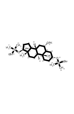 CC(=O)O[C@H]1C[C@H]2[C@@H]3CC[C@H](O[Si](C)(C)C(C)(C)C)[C@@]3(C)CC[C@@H]2[C@@]2(C)CC[C@@H](O[Si](C)(C)C(C)(C)C)CC12